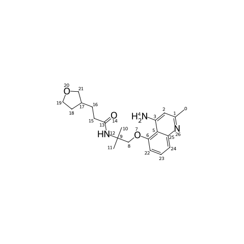 Cc1cc(N)c2c(OCC(C)(C)NC(=O)CCC3CCOC3)cccc2n1